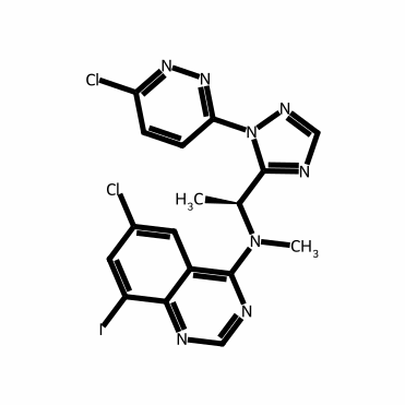 C[C@@H](c1ncnn1-c1ccc(Cl)nn1)N(C)c1ncnc2c(I)cc(Cl)cc12